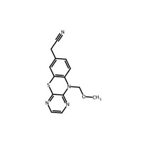 COCN1c2ccc(CC#N)cc2Sc2nccnc21